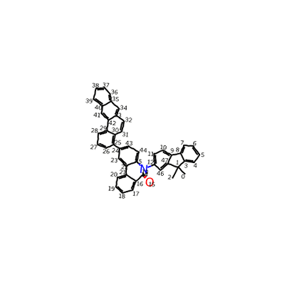 CC1(C)c2ccccc2-c2ccc(-n3c(=O)c4ccccc4c4cc(-c5cccc6c5ccc5cc7ccccc7cc56)ccc43)cc21